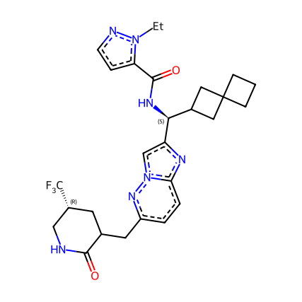 CCn1nccc1C(=O)N[C@H](c1cn2nc(CC3C[C@@H](C(F)(F)F)CNC3=O)ccc2n1)C1CC2(CCC2)C1